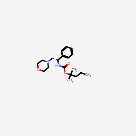 CCCC(C)(C)OC(=O)N[C@H](CN1CCOCC1)c1ccccc1